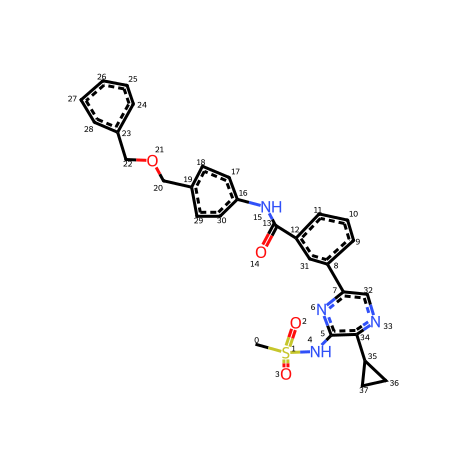 CS(=O)(=O)Nc1nc(-c2cccc(C(=O)Nc3ccc(COCc4ccccc4)cc3)c2)cnc1C1CC1